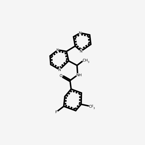 CC(NC(=O)c1cc(F)cc(C(F)(F)F)c1)c1nccnc1-c1cnccn1